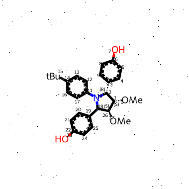 CO[C@H]1[C@@H](c2ccc(O)cc2)N(c2ccc(C(C)(C)C)cc2)C(c2ccc(O)cc2)[C@@H]1OC